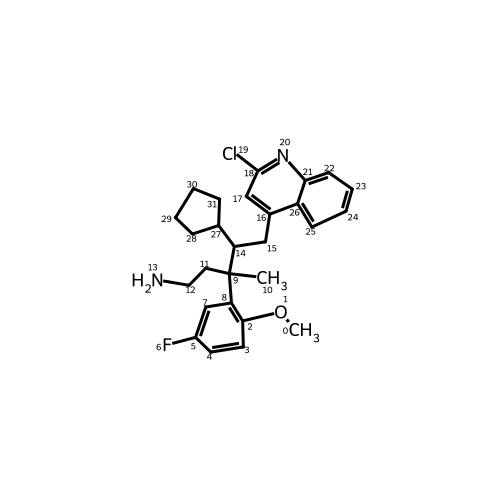 COc1ccc(F)cc1C(C)(CCN)C(Cc1cc(Cl)nc2ccccc12)C1CCCC1